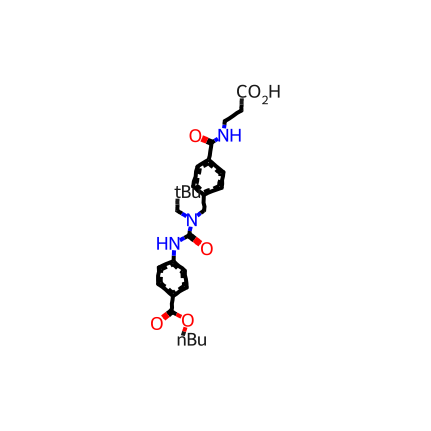 CCCCOC(=O)c1ccc(NC(=O)N(Cc2ccc(C(=O)NCCC(=O)O)cc2)CC(C)(C)C)cc1